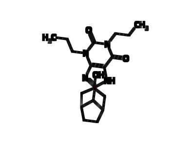 CCCn1c(=O)c2[nH]c(C3C4CCC3CC(O)C4)nc2n(CCC)c1=O